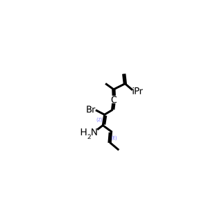 C=C(C(C)=C=C/C(Br)=C(N)\C=C\C)C(C)C